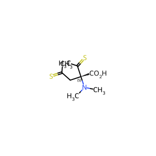 CC(=S)C[C@](C(=O)O)(C(C)=S)N(C)C